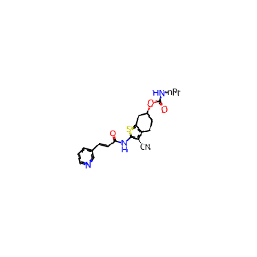 CCCNC(=O)OC1CCc2c(sc(NC(=O)C=Cc3cccnc3)c2C#N)C1